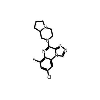 Fc1cc(Cl)cc2c1nc(N1CCN3CCCC3C1)c1nncn12